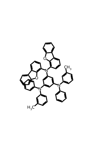 Cc1cccc(N(c2ccccc2)c2cc(N(c3ccccc3)c3cccc(C)c3)cc(N(c3cccc4c3oc3ccccc34)c3cccc4c3oc3ccccc34)c2)c1